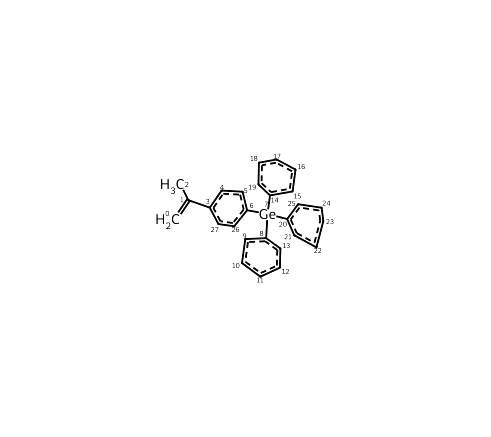 C=C(C)c1cc[c]([Ge]([c]2ccccc2)([c]2ccccc2)[c]2ccccc2)cc1